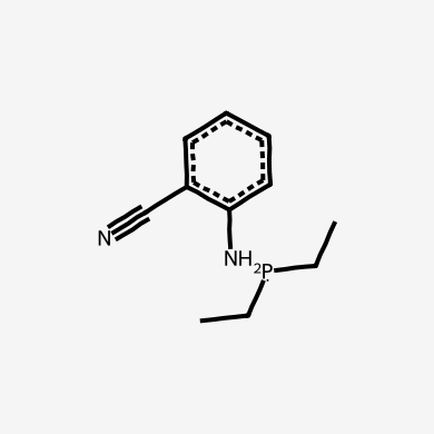 CC[P]CC.N#Cc1ccccc1N